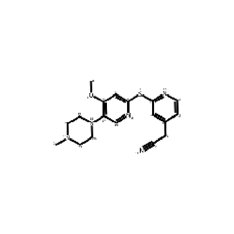 COc1cc(Sc2cc(CC#N)ccn2)ncc1N1CCN(C)CC1